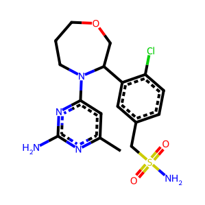 Cc1cc(N2CCCOCC2c2cc(CS(N)(=O)=O)ccc2Cl)nc(N)n1